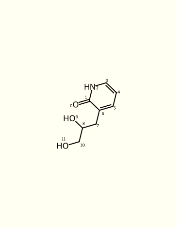 O=c1[nH]cccc1CC(O)CO